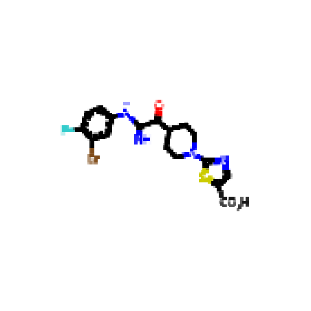 N=C(Nc1ccc(F)c(Br)c1)C(=O)C1CCN(c2ncc(C(=O)O)s2)CC1